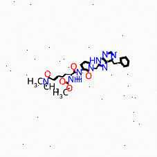 COC(=O)N[C@@H](CC/C=C/C(=O)N(C)C)C(=O)Nc1cccn(Cc2nc3c(Cc4ccccc4)ncnc3[nH]2)c1=O